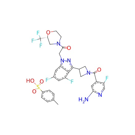 Cc1ccc(S(=O)(=O)O)cc1.Nc1cc(C(=O)N2CC(c3nn(CC(=O)N4CCO[C@@H](C(F)(F)F)C4)c4cc(F)cc(F)c34)C2)c(F)cn1